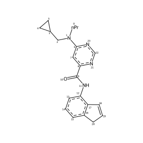 CCCN(CC1CC1)c1cc(C(=O)Nc2cccc3c2C=CC3)ncn1